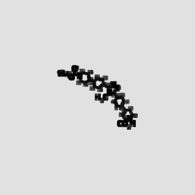 Cn1c(-c2ccc(C3=CCN(C(=O)O)CC3)cc2)nnc1-c1ccc(C2=CCN(C(=O)OC(C)(C)C)CC2)cc1